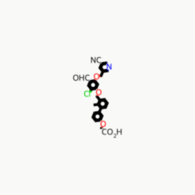 Cc1c(COc2cc(OCc3cncc(C#N)c3)c(C=O)cc2Cl)cccc1-c1cccc(OCC(=O)O)c1